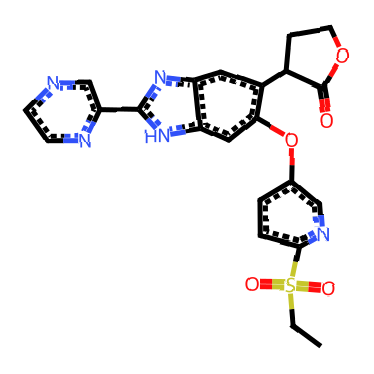 CCS(=O)(=O)c1ccc(Oc2cc3[nH]c(-c4cnccn4)nc3cc2C2CCOC2=O)cn1